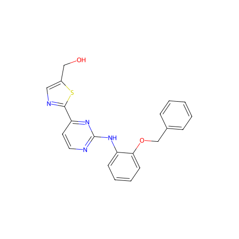 OCc1cnc(-c2ccnc(Nc3ccccc3OCc3ccccc3)n2)s1